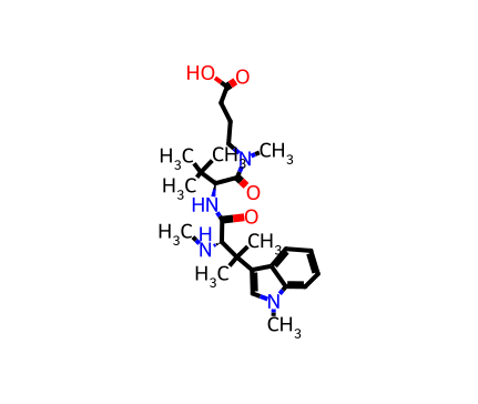 CN[C@H](C(=O)N[C@H](C(=O)N(C)CCCC(=O)O)C(C)(C)C)C(C)(C)c1cn(C)c2ccccc12